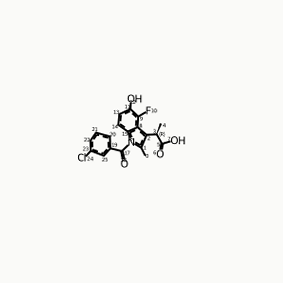 Cc1c([C@@H](C)C(=O)O)c2c(F)c(O)ccc2n1C(=O)c1cccc(Cl)c1